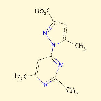 Cc1cc(-n2nc(C(=O)O)cc2C)nc(C)n1